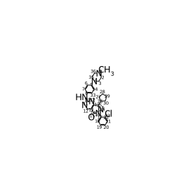 CN1CCN(c2ccc(Nc3ncc4c(=O)n(-c5ccccc5Cl)nc(C5CCCC5)c4n3)cc2)CC1